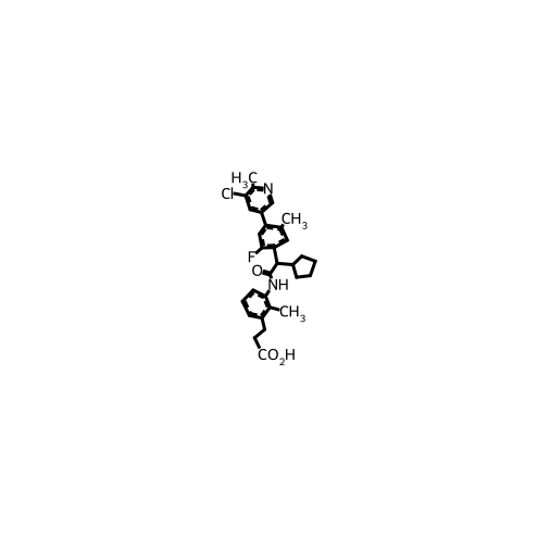 Cc1cc(C(C(=O)Nc2cccc(CCC(=O)O)c2C)C2CCCC2)c(F)cc1-c1cnc(C)c(Cl)c1